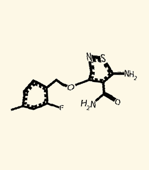 Cc1ccc(COc2nsc(N)c2C(N)=O)c(F)c1